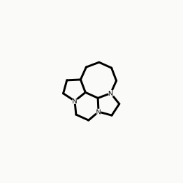 C1CCN2CCN3CCN4CCC(C1)C4C23